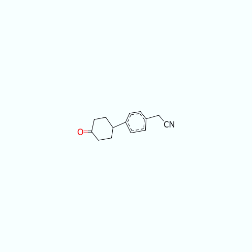 N#CCc1ccc(C2CCC(=O)CC2)cc1